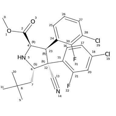 COC(=O)[C@@H]1N[C@@H](CC(C)(C)C)[C@](C#N)(c2ccc(Cl)cc2F)[C@@H]1c1cccc(Cl)c1F